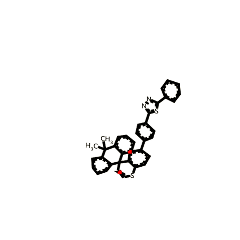 CC1(C)c2ccccc2C2(c3ccccc3Sc3ccc(-c4ccc(-c5nnc(-c6ccccc6)s5)cc4)cc32)c2ccccc21